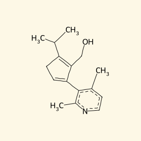 Cc1ccnc(C)c1C1=CCC(C(C)C)=C1CO